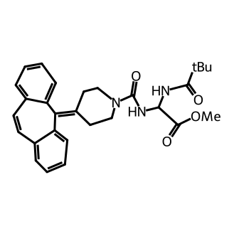 COC(=O)C(NC(=O)N1CCC(=C2c3ccccc3C=Cc3ccccc32)CC1)NC(=O)C(C)(C)C